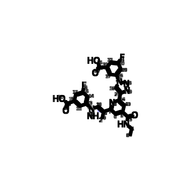 CCNC(=O)c1cc(/C(C)=C/N(N)c2cc(F)cc(C(=O)O)c2)nc(-c2cn(-c3cc(F)cc(C(=O)O)c3)nn2)c1